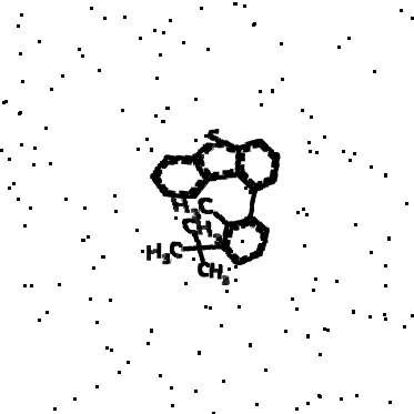 Cc1c(-c2cccc3sc4ccccc4c23)cccc1C(C)(C)C